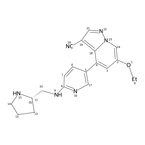 CCOc1cc(-c2ccc(NC[C@@H]3CCCN3)nc2)c2c(C#N)cnn2c1